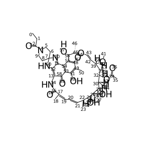 CCC(=O)N1CCC2(CC1)N=C1C(=C3NC(=O)/C(C)=C\C=C\[C@H](C)[C@H](O)[C@@H](C)[C@@H](O)[C@@H](C)[C@H](OC(C)=O)[C@H](C)[C@@H](OC)/C=C/O[C@@]4(C)Oc5c(C)c(O)c(c1c5C4O)C3=O)N2